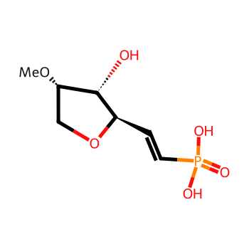 CO[C@H]1CO[C@H](/C=C/P(=O)(O)O)[C@H]1O